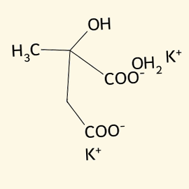 CC(O)(CC(=O)[O-])C(=O)[O-].O.[K+].[K+]